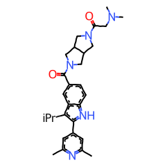 Cc1cc(-c2[nH]c3ccc(C(=O)N4CC5CN(C(=O)CN(C)C)CC5C4)cc3c2C(C)C)cc(C)n1